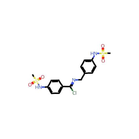 CS(=O)(=O)Nc1ccc(CN=C(Cl)c2ccc(NS(C)(=O)=O)cc2)cc1